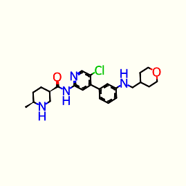 C[C@H]1CC[C@@H](C(=O)Nc2cc(-c3cccc(NCC4CCOCC4)c3)c(Cl)cn2)CN1